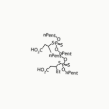 CCCCCOP(=S)(OCCCCC)SC(C)CC(=O)O.CCCCCOP(=S)(OCCCCC)SC(CC)CC(=O)O